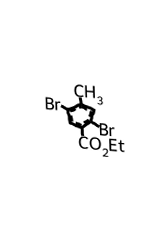 CCOC(=O)c1cc(Br)c(C)cc1Br